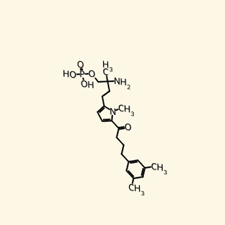 Cc1cc(C)cc(CCCC(=O)c2ccc(CCC(C)(N)COP(=O)(O)O)n2C)c1